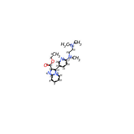 CCOC(=O)c1nc2ccccn2c1-c1ccc(N(C)CCN(C)C)nc1